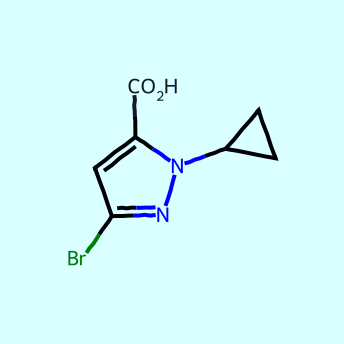 O=C(O)c1cc(Br)nn1C1CC1